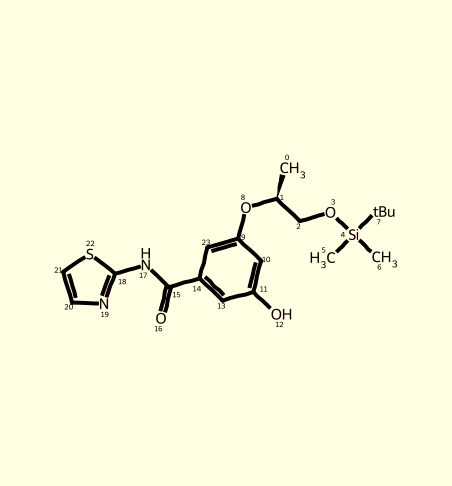 C[C@@H](CO[Si](C)(C)C(C)(C)C)Oc1cc(O)cc(C(=O)Nc2nccs2)c1